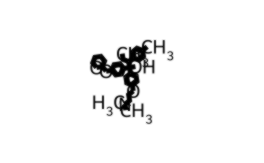 CCC(c1ccc(C)cc1)C(O)(c1ccc(OCCN(C)C)cc1)c1ccc(OC2CCCCO2)cc1